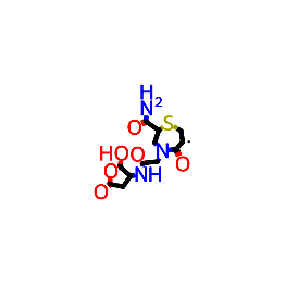 NC(=O)C1CN(CC(=O)NC2CC(=O)OC2O)C(=O)[CH]CS1